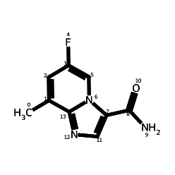 Cc1cc(F)cn2c(C(N)=O)cnc12